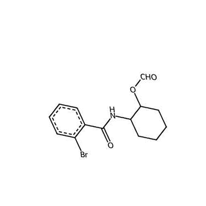 O=COC1CCCCC1NC(=O)c1ccccc1Br